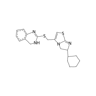 C1=C(CSC2=Nc3ccccc3CN2)N2CC(C3CCCCC3)N=C2S1